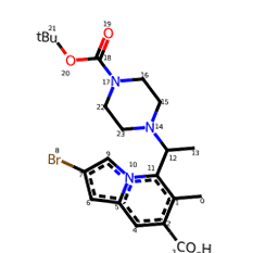 Cc1c(C(=O)O)cc2cc(Br)cn2c1C(C)N1CCN(C(=O)OC(C)(C)C)CC1